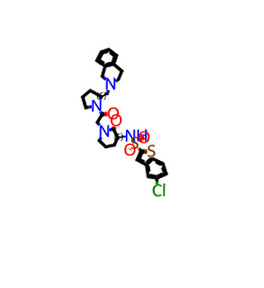 O=C1[C@@H](NS(=O)(=O)c2cc3cc(Cl)ccc3s2)CCCN1CC(=O)N1CCC[C@H]1CN1CCc2ccccc2C1